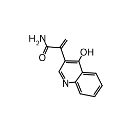 C=C(C(N)=O)c1cnc2ccccc2c1O